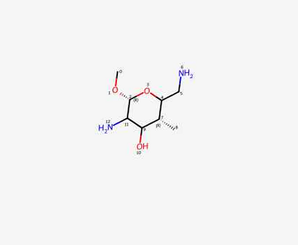 CO[C@@H]1OC(CN)[C@H](C)C(O)C1N